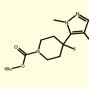 Cc1cnn(C)c1C1(F)CCN(C(=O)OC(C)(C)C)CC1